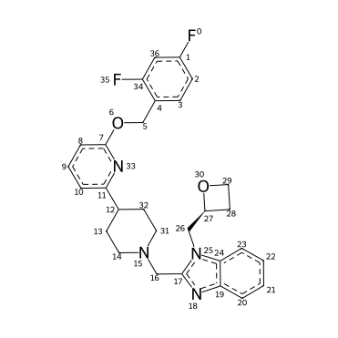 Fc1ccc(COc2cccc(C3CCN(Cc4nc5ccccc5n4C[C@@H]4CCO4)CC3)n2)c(F)c1